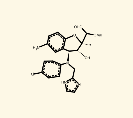 COC(C=O)[C@]1(C)Oc2ccc(N)cc2[C@H](N(Cc2ncc[nH]2)c2ccc(Cl)cc2)[C@H]1O